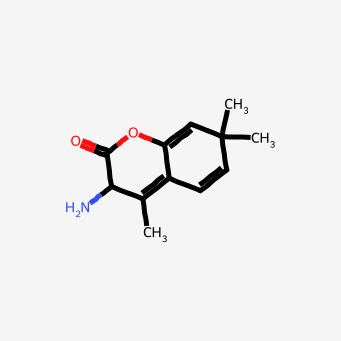 CC1=C2C=CC(C)(C)C=C2OC(=O)C1N